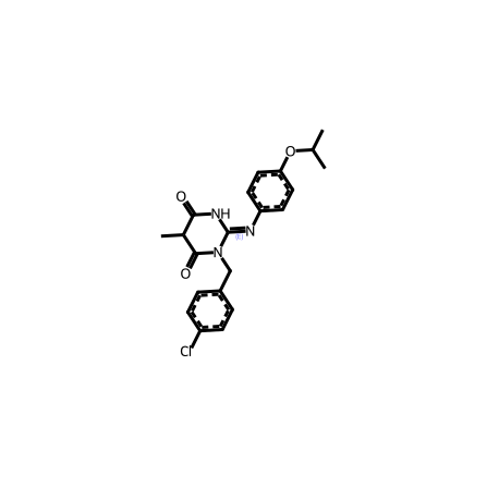 CC(C)Oc1ccc(/N=C2\NC(=O)C(C)C(=O)N2Cc2ccc(Cl)cc2)cc1